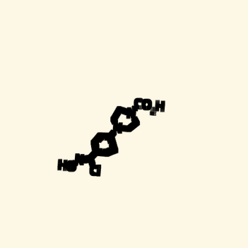 O=C(O)N1CCN(c2ccc(C(Cl)=NO)cc2)CC1